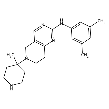 Cc1cc(C)cc(Nc2ncc3c(n2)CCN(C2(C)CCNCC2)C3)c1